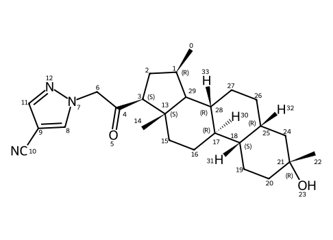 C[C@@H]1C[C@H](C(=O)Cn2cc(C#N)cn2)[C@@]2(C)CC[C@@H]3[C@H]4CC[C@@](C)(O)C[C@H]4CC[C@H]3C12